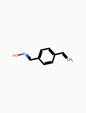 C=Cc1ccc(/C=N/O)cc1